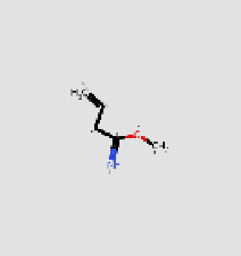 C=CCC(=N)OC